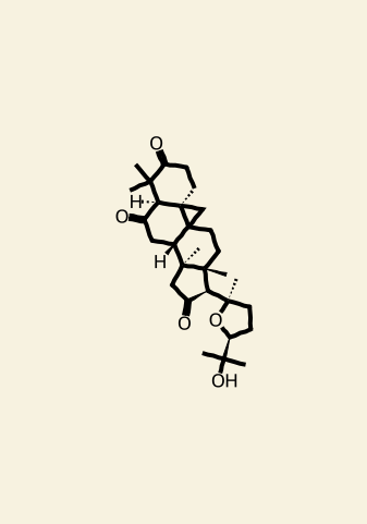 CC(C)(O)[C@@H]1CC[C@](C)([C@H]2C(=O)C[C@@]3(C)[C@@H]4CC(=O)[C@H]5C(C)(C)C(=O)CC[C@@]56CC46CC[C@]23C)O1